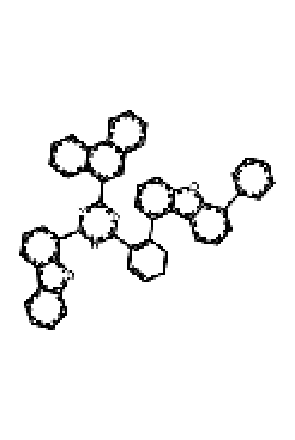 C1=CC(c2nc(-c3cc4ccccc4c4ccccc34)nc(-c3cccc4c3oc3ccccc34)n2)=C(c2cccc3oc4c(-c5ccccc5)cccc4c23)CC1